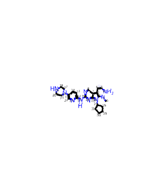 C=Nc1c(/C=C\N)c2cnc(Nc3ccc(N4CCNCC4)cn3)nc2n1C1CCCC1